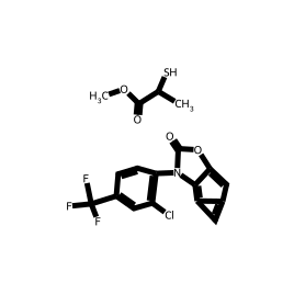 COC(=O)C(C)S.O=c1oc2cc3cc-3c2n1-c1ccc(C(F)(F)F)cc1Cl